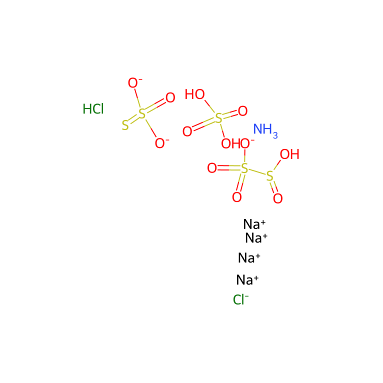 Cl.N.O=S(=O)(O)O.O=S(O)S(=O)(=O)[O-].O=S([O-])([O-])=S.[Cl-].[Na+].[Na+].[Na+].[Na+]